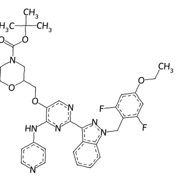 CCOc1cc(F)c(Cn2nc(-c3ncc(OCC4CN(C(=O)OC(C)(C)C)CCO4)c(Nc4ccncc4)n3)c3ccccc32)c(F)c1